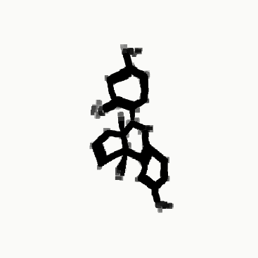 COc1ccc2c(c1)[C@@H]1C=CC[C@@H]1[C@H](c1ccc(C(=O)O)cc1C(F)(F)F)N2